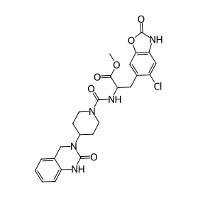 COC(=O)C(Cc1cc2oc(=O)[nH]c2cc1Cl)NC(=O)N1CCC(N2Cc3ccccc3NC2=O)CC1